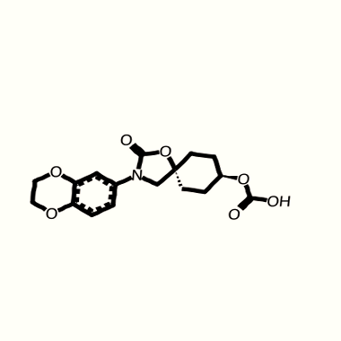 O=C(O)O[C@H]1CC[C@]2(CC1)CN(c1ccc3c(c1)OCCO3)C(=O)O2